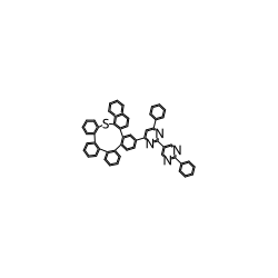 c1ccc(-c2cc(-c3ccc4c(c3)-c3ccc5ccccc5c3Sc3ccccc3-c3ccccc3-c3ccccc3-4)nc(-c3cnc(-c4ccccc4)nc3)n2)cc1